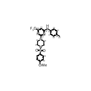 COc1ccc(S(=O)(=O)N2CCN(c3nc(Nc4ccc(C)cc4)cc(C(F)(F)F)n3)CC2)cc1